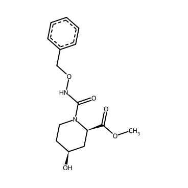 COC(=O)[C@H]1C[C@@H](O)CCN1C(=O)NOCc1ccccc1